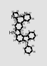 c1ccc(-n2c3ccccc3c3c4c(ccc32)[nH]c2cc3c(cc24)c2cccnc2n2ccnc32)cc1